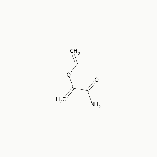 C=COC(=C)C(N)=O